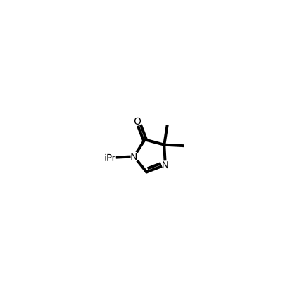 CC(C)N1C=NC(C)(C)C1=O